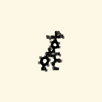 CC[C@@H](C)OC(=O)[C@H](C)NP(=O)(Oc1ccc([N+](=O)[O-])cc1)Oc1ccc(S(C)(C)C)cc1